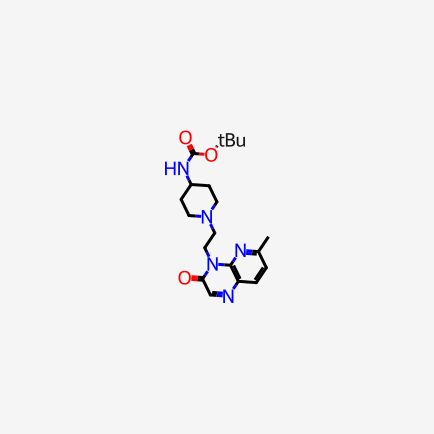 Cc1ccc2ncc(=O)n(CCN3CCC(NC(=O)OC(C)(C)C)CC3)c2n1